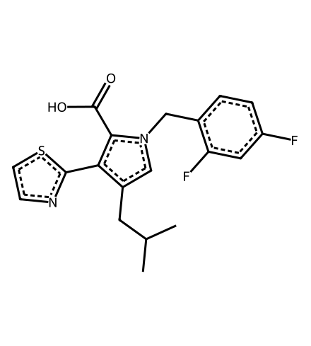 CC(C)Cc1cn(Cc2ccc(F)cc2F)c(C(=O)O)c1-c1nccs1